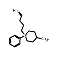 C=CCCC[Si]1(c2ccccc2)CCC(C(=O)O)CC1